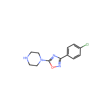 Clc1ccc(-c2noc(N3CCNCC3)n2)cc1